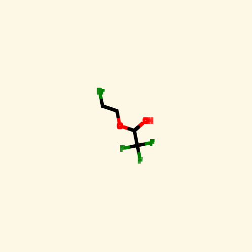 OC(OCCBr)C(F)(F)F